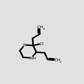 C=CCC1NCC[N]C1(Cl)CC=C